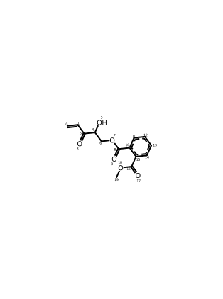 C=CC(=O)C(O)COC(=O)c1ccccc1C(=O)OC